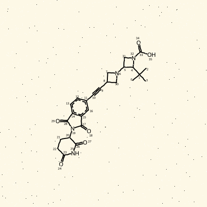 CC(C)(C)C1C(N2CC(C#Cc3ccc4c(c3)C(=O)N(C3CCC(=O)NC3=O)C4=O)C2)CN1C(=O)O